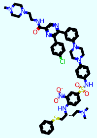 CN(C)CC[C@H](CSc1ccccc1)Nc1ccc(S(=O)(=O)Nc2ccc(N3CCN(c4cccc(-c5ncc(C(=O)NCCN6CCN(C)CC6)nc5-c5ccc(Cl)cc5)c4)CC3)cc2)cc1[N+](=O)[O-]